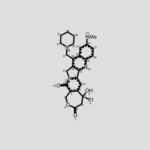 CC[C@@]1(O)CC(=O)OCc2c1cc1n(c2=O)Cc2c-1nc1ccc(NC)cc1c2CN1CCCCC1